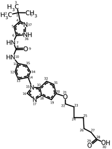 CC(C)(C)c1cc(NC(=O)Nc2ccc(-n3cnc4cc(OCCCCCCC(=O)O)ccc43)cc2)[nH]n1